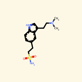 CN(C)CCc1c[nH]c2ccc(CCS(N)(=O)=O)cc12